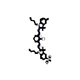 CCCCN1/C(=C/C=C2\CCCC(/C=C/C3=[N+](CCCC)c4ccc(S(C)(=O)=O)cc4C3(C)C)=C2Cl)C(C)(C)c2cc(C)ccc21